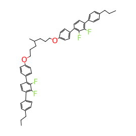 CCCc1ccc(-c2ccc(-c3ccc(OCCCC(C)CCCOc4ccc(-c5ccc(-c6ccc(CCC)cc6)c(F)c5F)cc4)cc3)c(F)c2F)cc1